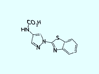 O=C(O)Nc1cnn(-c2nc3ccccc3s2)c1